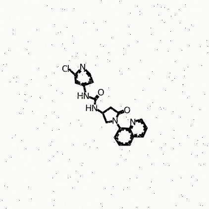 O=C(Nc1ccnc(Cl)c1)NC1CC(=O)N(c2cccc3cccnc23)C1